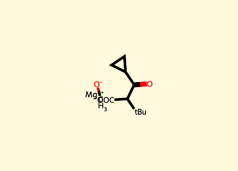 CC(C)(C)C(C(=O)[O-])C(=O)C1CC1.C[O-].[Mg+2]